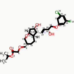 CC(C)OC(=O)COC[C@H]1CC[C@@H]2[C@@H](/C=C/[C@@H](O)COc3cc(F)cc(Cl)c3)[C@H](O)C[C@@H]2OC1